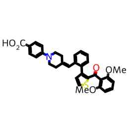 COc1cccc(OC)c1C(=O)c1sccc1-c1ccccc1C=C1CCN(c2ccc(C(=O)O)cc2)CC1